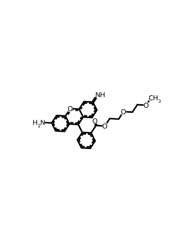 COCCOCCOC(=O)c1ccccc1-c1c2ccc(=N)cc-2oc2cc(N)ccc12